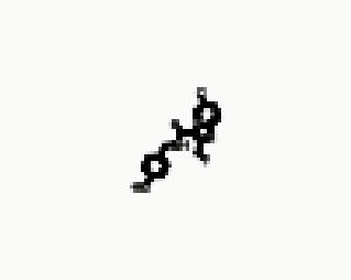 CC(C)(C)c1ccc(CNC(=O)c2c(CF)nc3ccc(Cl)cn23)cc1